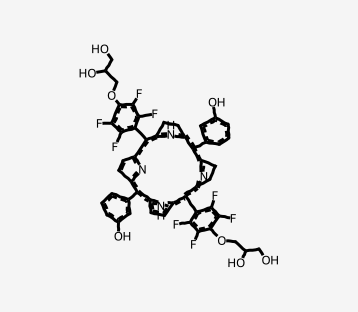 OCC(O)COc1c(F)c(F)c(-c2c3nc(c(-c4cccc(O)c4)c4ccc([nH]4)c(-c4c(F)c(F)c(OCC(O)CO)c(F)c4F)c4nc(c(-c5cccc(O)c5)c5[nH]c2CC5)CC4)C=C3)c(F)c1F